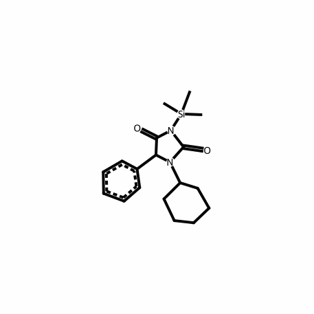 C[Si](C)(C)N1C(=O)C(c2ccccc2)N(C2CCCCC2)C1=O